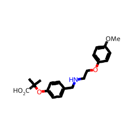 COc1ccc(OCCNCc2ccc(OC(C)(C)C(=O)O)cc2)cc1